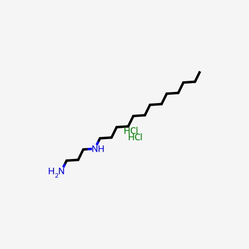 CCCCCCCCCCCCCNCCCN.Cl.Cl